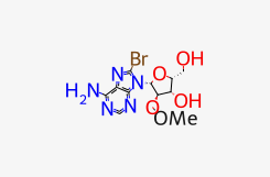 COO[C@@H]1[C@@H](O)[C@@H](CO)O[C@H]1n1c(Br)nc2c(N)ncnc21